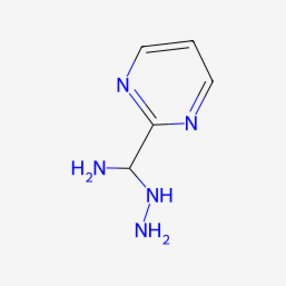 NNC(N)c1ncccn1